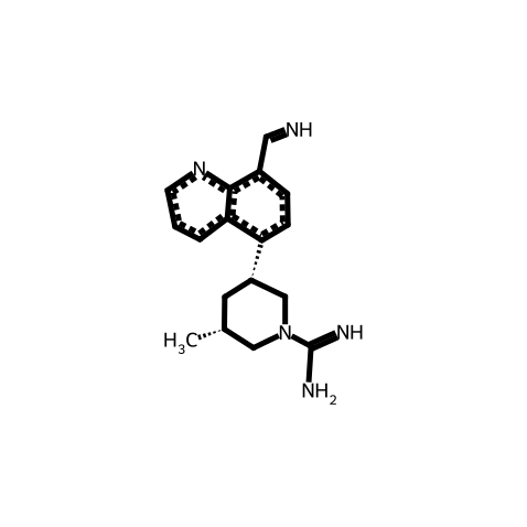 C[C@@H]1C[C@H](c2ccc(C=N)c3ncccc23)CN(C(=N)N)C1